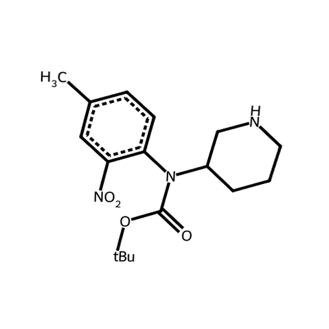 Cc1ccc(N(C(=O)OC(C)(C)C)C2CCCNC2)c([N+](=O)[O-])c1